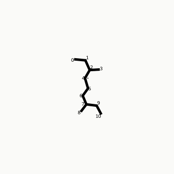 CCC(C)[CH]CCC(C)CC